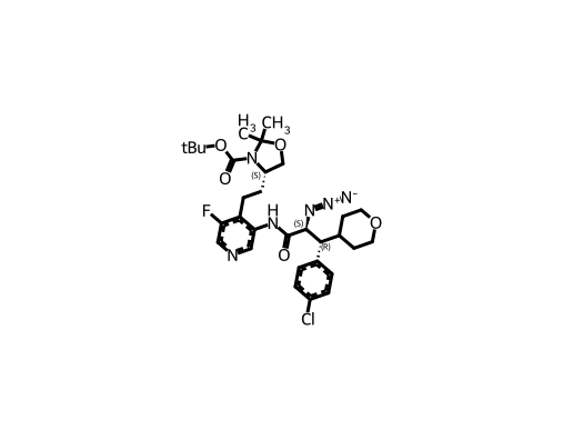 CC(C)(C)OC(=O)N1[C@@H](CCc2c(F)cncc2NC(=O)[C@@H](N=[N+]=[N-])[C@@H](c2ccc(Cl)cc2)C2CCOCC2)COC1(C)C